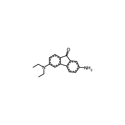 CCN(CC)c1ccc2c(c1)-c1ccc(N)cc1C2=O